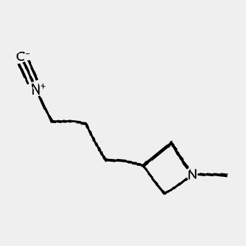 [C-]#[N+]CCCC1CN(C)C1